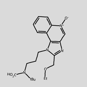 CCOCc1nc2c[n+]([O-])c3ccccc3c2n1CCCN(C(=O)O)C(C)(C)C